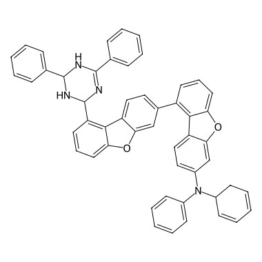 C1=CCC(N(c2ccccc2)c2ccc3c(c2)oc2cccc(-c4ccc5c(c4)oc4cccc(C6N=C(c7ccccc7)NC(c7ccccc7)N6)c45)c23)C=C1